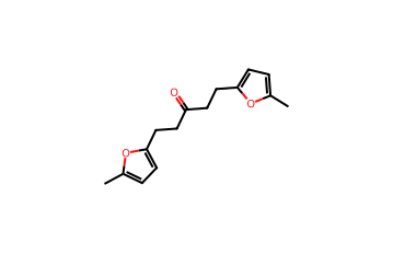 Cc1ccc(CCC(=O)CCc2ccc(C)o2)o1